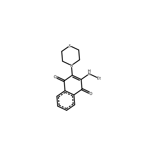 CCNC1=C(N2CCSCC2)C(=O)c2ccccc2C1=O